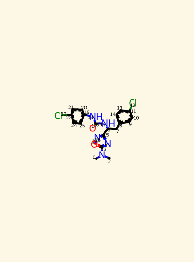 CN(C)c1nc(C(Cc2ccc(Cl)cc2)NC(=O)Nc2ccc(Cl)cc2)no1